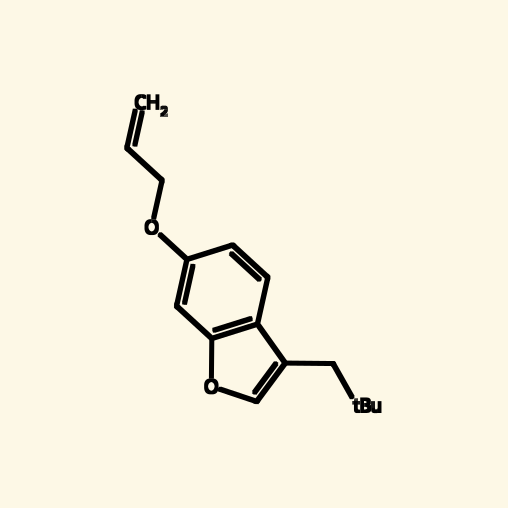 C=CCOc1ccc2c(CC(C)(C)C)coc2c1